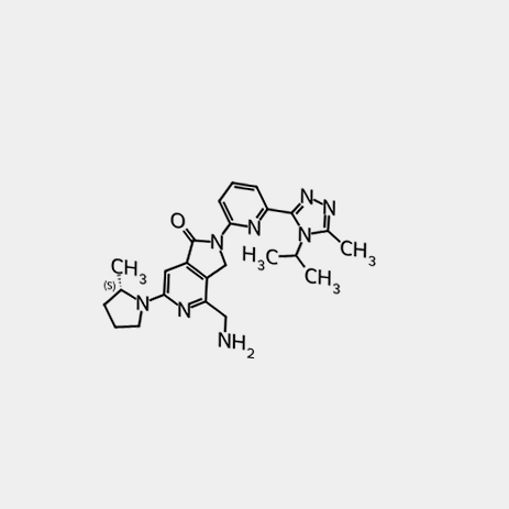 Cc1nnc(-c2cccc(N3Cc4c(cc(N5CCC[C@@H]5C)nc4CN)C3=O)n2)n1C(C)C